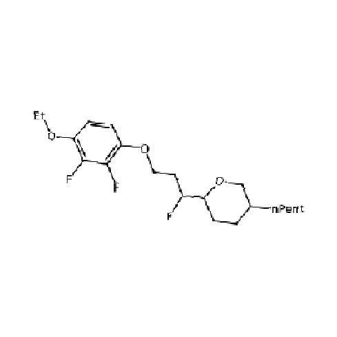 CCCCCC1CCC(C(F)CCOc2ccc(OCC)c(F)c2F)OC1